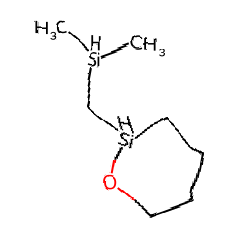 C[SiH](C)C[SiH]1CCCCO1